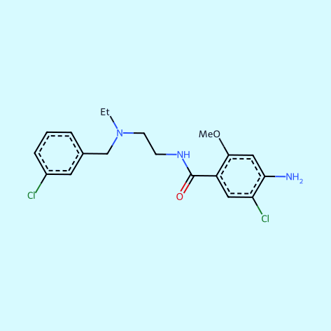 CCN(CCNC(=O)c1cc(Cl)c(N)cc1OC)Cc1cccc(Cl)c1